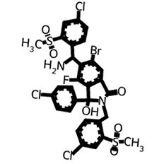 CS(=O)(=O)c1cc(Cl)ccc1CN1C(=O)c2cc(Br)c(C(N)c3ccc(Cl)cc3S(C)(=O)=O)c(F)c2C1(O)c1ccc(Cl)cc1